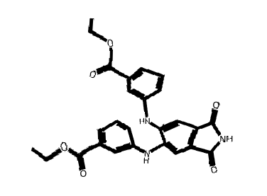 CCOC(=O)c1cccc(Nc2cc3c(cc2Nc2cccc(C(=O)OCC)c2)C(=O)NC3=O)c1